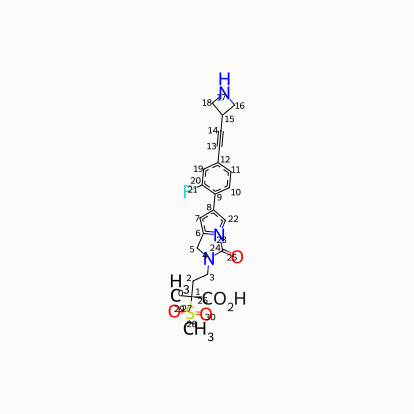 C[C@@](CCN1Cc2cc(-c3ccc(C#CC4CNC4)cc3F)cn2C1=O)(C(=O)O)S(C)(=O)=O